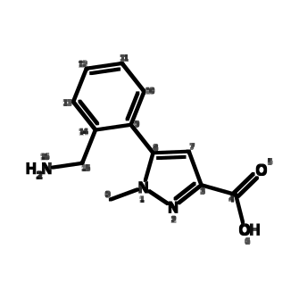 Cn1nc(C(=O)O)cc1-c1ccccc1CN